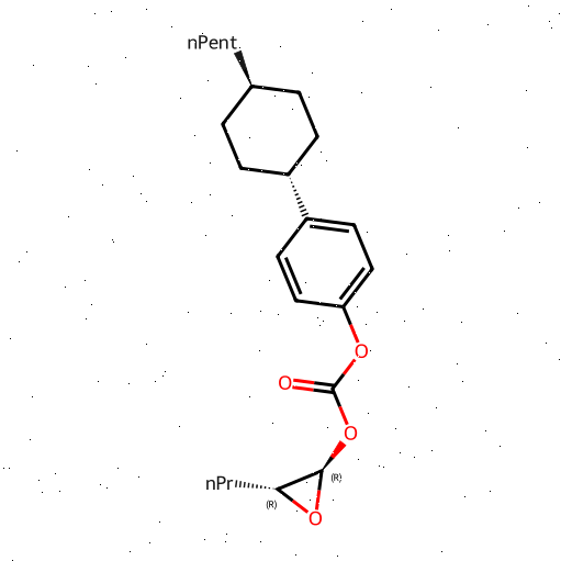 CCCCC[C@H]1CC[C@H](c2ccc(OC(=O)O[C@H]3O[C@@H]3CCC)cc2)CC1